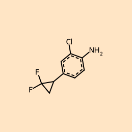 Nc1ccc(C2CC2(F)F)cc1Cl